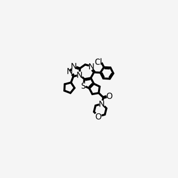 O=C(C1Cc2sc3c(c2C1)C(c1ccccc1Cl)=NCc1nnc(C2CCCC2)n1-3)N1CCOCC1